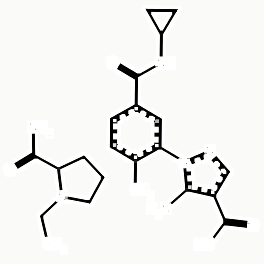 CCN1CCCC1C(N)=O.Cc1ccc(C(=O)NC2CC2)cc1-n1ncc(C(=O)O)c1N